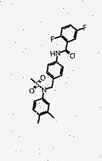 Cc1ccc(N(Cc2ccc(NC(=O)c3cc(F)ccc3F)cc2)S(C)(=O)=O)cc1C